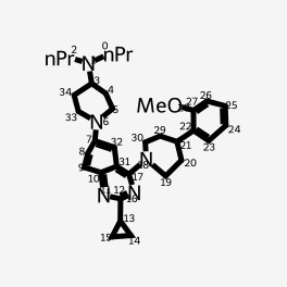 CCCN(CCC)C1CCN(c2ccc3nc(C4CC4)nc(N4CCC(c5ccccc5OC)CC4)c3c2)CC1